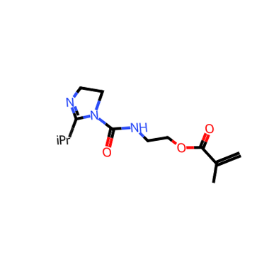 C=C(C)C(=O)OCCNC(=O)N1CCN=C1C(C)C